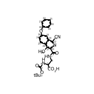 CC(C)(C)OC(=O)NC(CNC(=O)c1nc(C#N)c2cc(Oc3ccccc3)ccc2c1O)C(=O)O